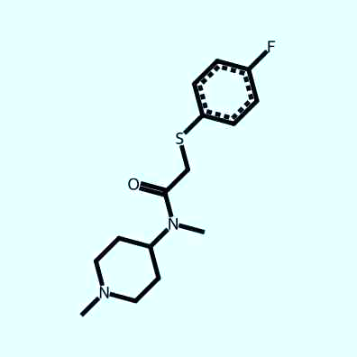 CN1CCC(N(C)C(=O)CSc2ccc(F)cc2)CC1